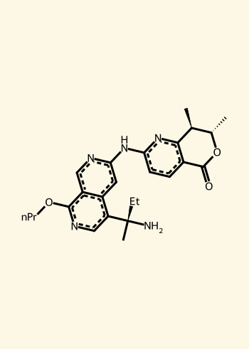 CCCOc1ncc([C@@](C)(N)CC)c2cc(Nc3ccc4c(n3)[C@@H](C)[C@H](C)OC4=O)ncc12